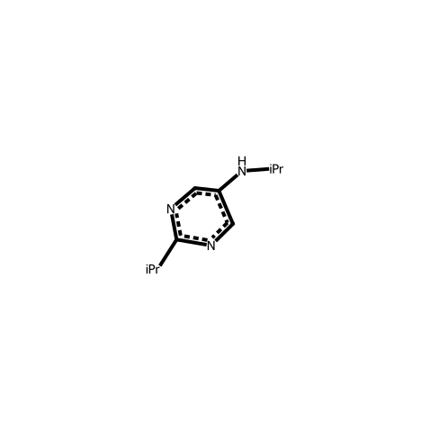 CC(C)Nc1cnc(C(C)C)nc1